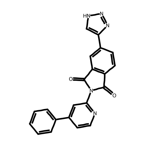 O=C1c2ccc(-c3c[nH]nn3)cc2C(=O)N1c1cc(-c2ccccc2)ccn1